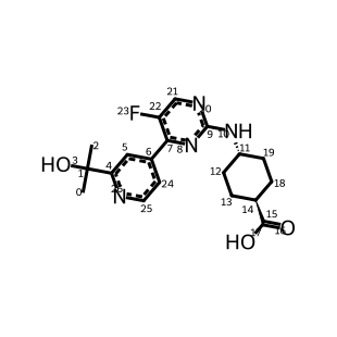 CC(C)(O)c1cc(-c2nc(N[C@H]3CC[C@H](C(=O)O)CC3)ncc2F)ccn1